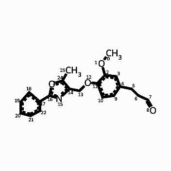 COc1cc(CCC=O)ccc1OCc1nc(-c2ccccc2)oc1C